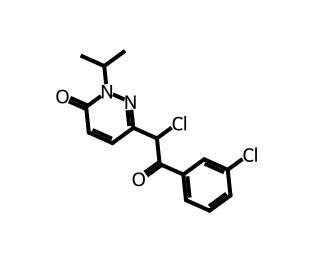 CC(C)n1nc(C(Cl)C(=O)c2cccc(Cl)c2)ccc1=O